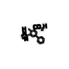 Cc1c(C(=O)O)cc(-c2ccccc2)cc1-c1ncc[nH]1